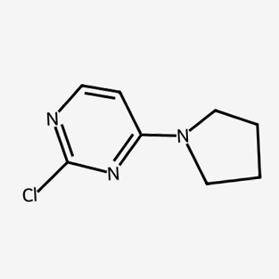 Clc1nccc(N2CCCC2)n1